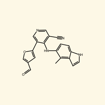 Cc1c(Nc2c(C#N)cncc2-c2cc(C=O)co2)ccc2[nH]ccc12